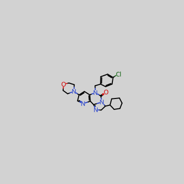 O=C1N(Cc2ccc(Cl)cc2)c2cc(N3CCOCC3)cnc2C2=NCC(C3CCCCC3)N12